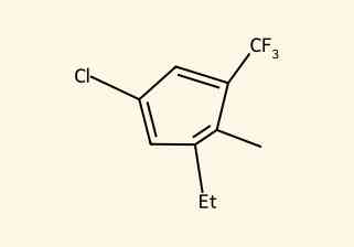 CCc1cc(Cl)cc(C(F)(F)F)c1C